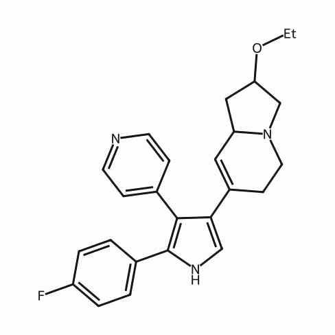 CCOC1CC2C=C(c3c[nH]c(-c4ccc(F)cc4)c3-c3ccncc3)CCN2C1